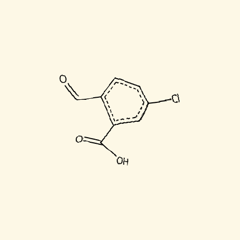 O=Cc1ccc(Cl)cc1C(=O)O